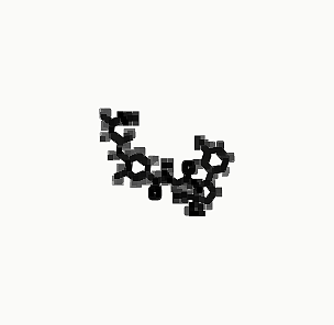 CCC1(CC)CCC(c2cccc(F)c2)N1C(=O)CNC(=O)c1ccc(C/C(C)=C/C(C)=N)c(C)c1